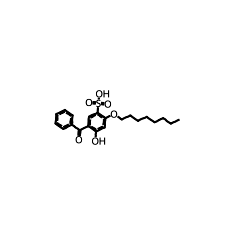 CCCCCCCCOc1cc(O)c(C(=O)c2ccccc2)cc1S(=O)(=O)O